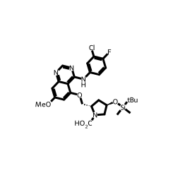 COc1cc(OC[C@@H]2C[C@@H](O[Si](C)(C)C(C)(C)C)CN2C(=O)O)c2c(Nc3ccc(F)c(Cl)c3)ncnc2c1